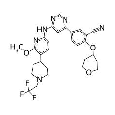 COc1nc(Nc2cc(-c3ccc(OC4CCOCC4)c(C#N)c3)ncn2)ccc1C1CCN(CC(F)(F)F)CC1